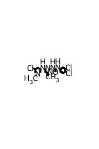 CCN1CC(Cl)CC(Nc2cc(C)nc(NC(=O)Nc3ccc(Cl)c(Cl)c3)n2)C1